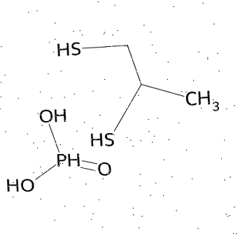 CC(S)CS.O=[PH](O)O